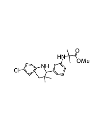 COC(=O)C(C)(C)Nc1cccc(C2Nc3ccc(Cl)cc3CC2(C)C)c1